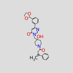 C[C@H](CC(=O)N1CCC(O)(Cn2cnc(-c3cccc(C4OCCO4)c3)cc2=O)CC1)c1ccccc1